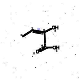 C/C=C(/O)C(=O)O